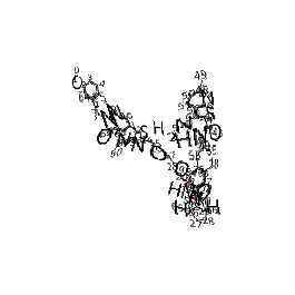 COc1cccc(Cn2ncc3c4sc(COCCOCCNC(=O)C5[C@@H]6CC[C@H]5CN(c5ccc7c(c5)CC[C@H](NC(=O)c5sc8nc(C)ccc8c5N)C7)C6)nc4n(C)c3c2=O)c1